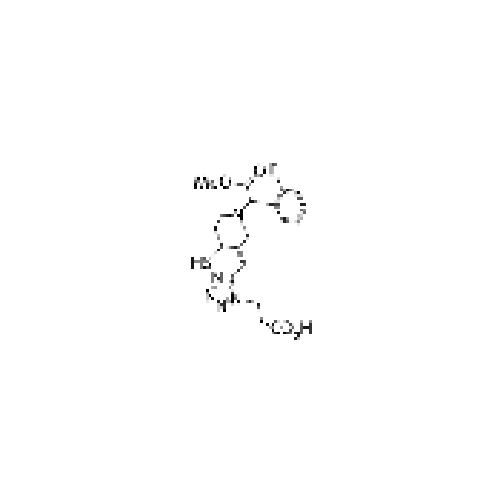 COC(=O)C(c1ccccc1F)N1CCC(S)/C(=C\c2nnnn2CCC(=O)O)C1